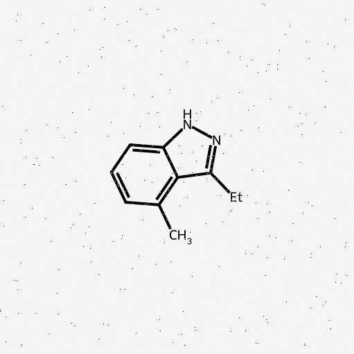 CCc1n[nH]c2cccc(C)c12